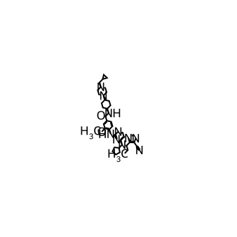 CCC1c2c(C#N)ncn2-c2cnc(Nc3ccc(C(=O)NC4CCC(N5CCN(CC6CC6)CC5)CC4)cc3OC)nc2N1C1CCCC1